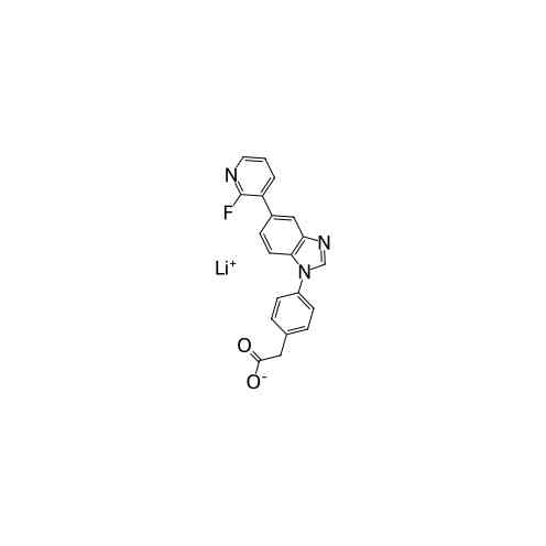 O=C([O-])Cc1ccc(-n2cnc3cc(-c4cccnc4F)ccc32)cc1.[Li+]